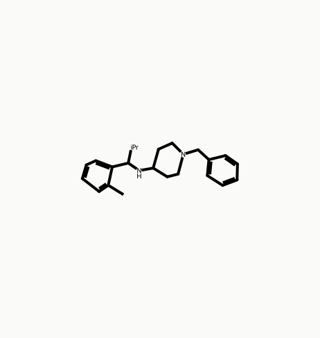 Cc1ccccc1C(NC1CCN(Cc2ccccc2)CC1)C(C)C